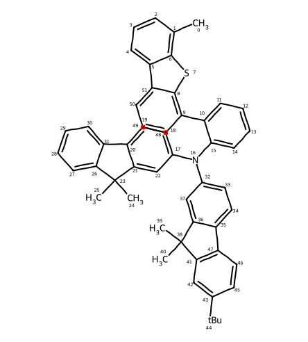 Cc1cccc2c1sc1c(-c3ccccc3N(c3ccc4c(c3)C(C)(C)c3ccccc3-4)c3ccc4c(c3)C(C)(C)c3cc(C(C)(C)C)ccc3-4)cccc12